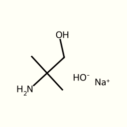 CC(C)(N)CO.[Na+].[OH-]